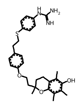 Cc1c(C)c2c(c(C)c1O)CCC(C)(CCOc1ccc(CCSc3ccc(NC(=N)N)cc3)cc1)O2